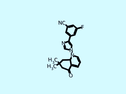 CC1(C)CC(=O)C2=CC=CN(n3cnc(-c4cc(F)cc(C#N)c4)c3)C2C1